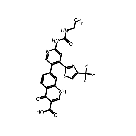 CCNC(=O)Nc1cc(-c2nc(C(F)(F)F)cs2)c(-c2ccc3c(=O)c(C(=O)O)c[nH]c3c2)cn1